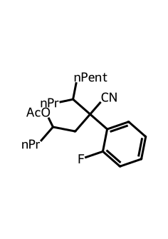 CCCCCC(CCC)C(C#N)(CC(CCC)OC(C)=O)c1ccccc1F